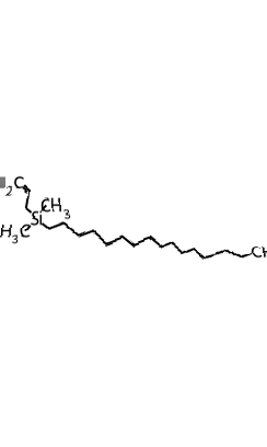 C=CC[Si](C)(C)CCCCCCCCCCCCCCCC